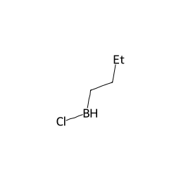 CCCCBCl